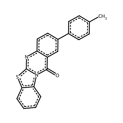 Cc1ccc(-c2ccc3nc4sc5ccccc5n4c(=O)c3c2)cc1